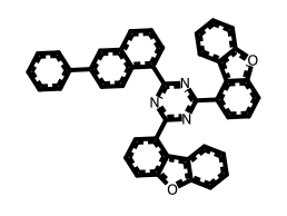 c1ccc(-c2ccc3c(-c4nc(-c5cccc6oc7ccccc7c56)nc(-c5cccc6oc7ccccc7c56)n4)cccc3c2)cc1